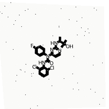 CC(Nc1nccc(N(C(=O)Nc2c(Cl)cccc2Cl)c2ccc(F)cc2)n1)C(C)(C)O